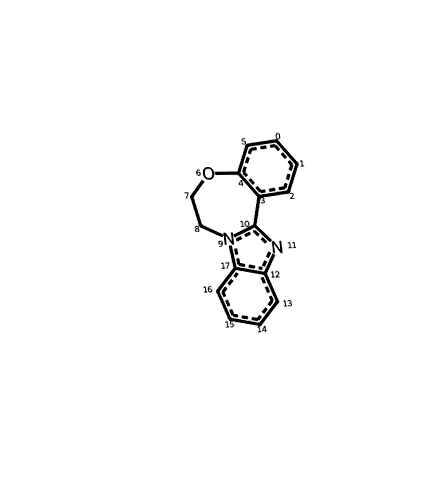 c1ccc2c(c1)OCCn1c-2nc2ccccc21